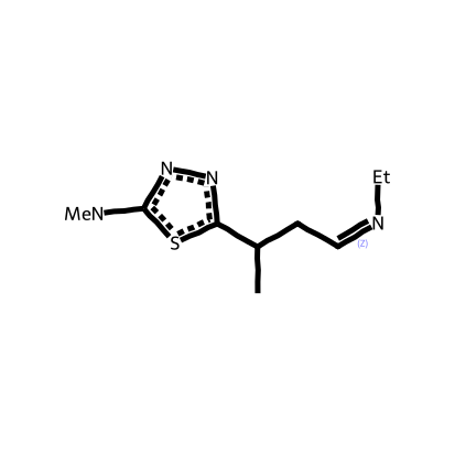 CC/N=C\CC(C)c1nnc(NC)s1